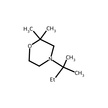 CCC(C)(C)N1CCOC(C)(C)C1